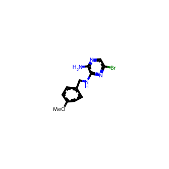 COc1ccc(CNc2nc(Br)cnc2N)cc1